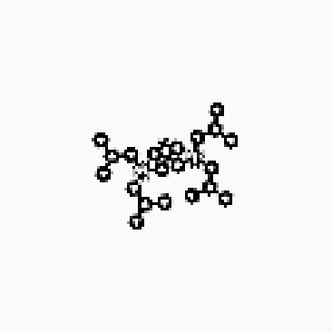 CC1(C)c2ccccc2C(c2cccc(-c3nc(-c4cccc(-c5cc(-c6ccccc6)cc(-c6ccccc6)c5)c4)nc(-c4cccc(-c5cc(-c6ccccc6)cc(-c6ccccc6)c5)c4)n3)c2)(c2cccc(-c3nc(-c4cccc(-c5cc(-c6ccccc6)cc(-c6ccccc6)c5)c4)nc(-c4cccc(-c5cc(-c6ccccc6)cc(-c6ccccc6)c5)c4)n3)c2)c2ccccc21